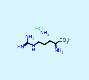 Cl.N.N=C(N)NCCCC(N)C(=O)O